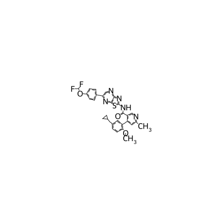 COc1ccc(C2CC2)cc1-c1cc(C)ncc1C(=O)Nc1nc2ncc(-c3ccc(OC(F)F)cc3)nc2s1